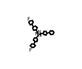 Fc1ccc(-c2ccc(-c3nc(-c4ccc(-c5ccccc5)cc4)nc(-c4ccc(-c5ccc(F)cc5)cc4)n3)cc2)cc1